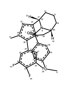 COc1ccc(C(=O)N2[C@@H]3CCC[C@H]2c2nn(C)c(-c4cc(F)c(F)c(F)c4)c2C3)nc1